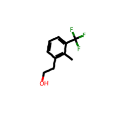 Cc1c(CCO)cccc1C(F)(F)F